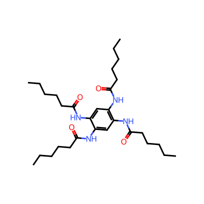 CCCCCC(=O)Nc1cc(NC(=O)CCCCC)c(NC(=O)CCCCC)cc1NC(=O)CCCCC